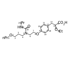 CCCOCCCN(CCOc1ccc(CC(OCC)C(=O)O)cc1)C(=O)NC(C)C